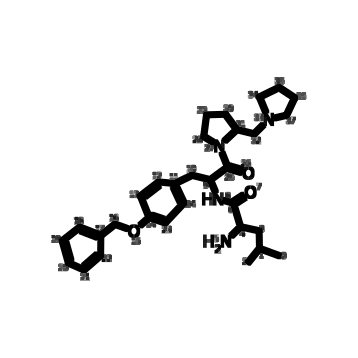 CC(C)CC(N)C(=O)NC(Cc1ccc(OCc2ccccc2)cc1)C(=O)N1CCCC1CN1CCCC1